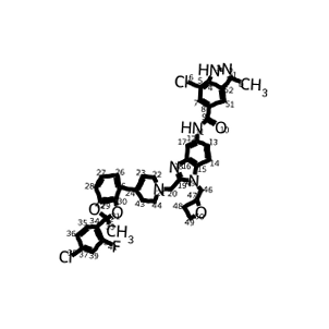 Cc1n[nH]c2c(Cl)cc(C(=O)Nc3ccc4c(c3)nc(CN3CC=C(c5cccc6c5OC(C)(c5ccc(Cl)cc5F)O6)CC3)n4CC3CCO3)cc12